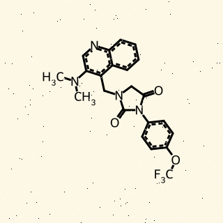 CN(C)c1cnc2ccccc2c1CN1CC(=O)N(c2ccc(OC(F)(F)F)cc2)C1=O